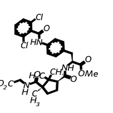 COC(=O)[C@H](Cc1ccc(NC(=O)c2c(Cl)cccc2Cl)cc1)NC(=O)[C@H]1CC[C@@](C)(C(=O)NCC(=O)O)C1(C)C